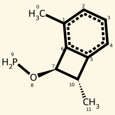 Cc1cccc2c1[C@H](OP)[C@H]2C